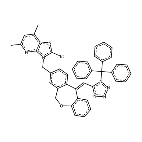 CCc1nc2c(C)cc(C)nc2n1Cc1ccc2c(c1)COc1ccccc1C2=Cc1nnnn1C(c1ccccc1)(c1ccccc1)c1ccccc1